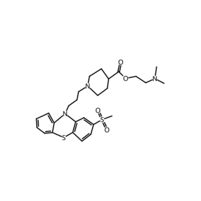 CN(C)CCOC(=O)C1CCN(CCCN2c3ccccc3Sc3ccc(S(C)(=O)=O)cc32)CC1